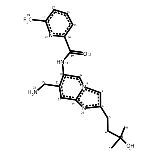 CC(C)(O)CCc1cn2cc(NC(=O)c3cccc(C(F)(F)F)n3)c(CN)cc2n1